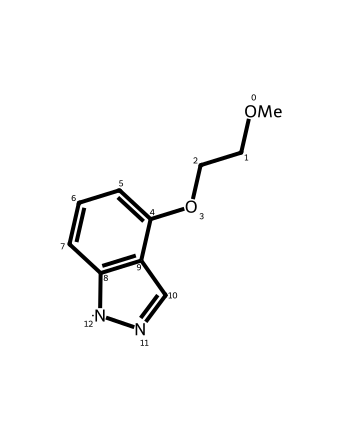 COCCOc1cccc2c1C=N[N]2